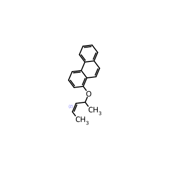 C/C=C\C(C)Oc1cccc2c1ccc1ccccc12